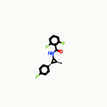 C[C@H]1C(NC(=O)c2c(F)cccc2F)[C@H]1c1ccc(F)cc1